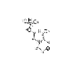 O.O=[SH](=O)OCCN1CCOCC1